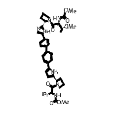 COC(=O)NC(C(=O)N1CCC[C@@H]1c1ccc(-c2ccc(-c3ccc(-c4cnc([C@@H]5CCCN5C(=O)[C@@H](NC(=O)OC)[C@@H](C)OC)[nH]4)cc3)cc2)[nH]1)C(C)C